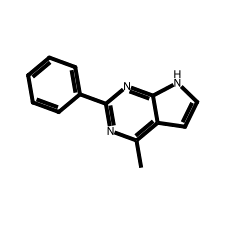 Cc1nc(-c2ccccc2)nc2[nH]ccc12